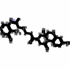 C/C(COCCC(=O)N1CC(=O)N2c3ncc(C(F)(F)F)cc3OC[C@H]2C1)=N/c1cn[nH]c(=O)c1C(F)(F)F